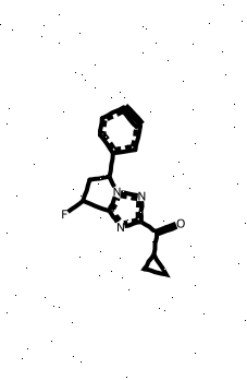 O=C(c1nc2n(n1)C(c1cc#ccc1)CC2F)C1CC1